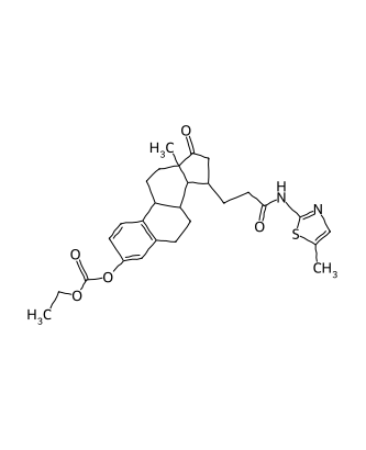 CCOC(=O)Oc1ccc2c(c1)CCC1C2CCC2(C)C(=O)CC(CCC(=O)Nc3ncc(C)s3)C12